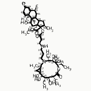 CC[C@H]1OC(=O)[C@H](C)[C@@H](O)[C@H](C)[C@@H](O)[C@]2(O)C[C@@]2(C)CN(CCCNCCC(=O)O[C@]2(C(=O)OC)[C@H](C)CC3C4C[C@H](F)C5=CC(=O)C=C[C@]5(C)[C@@]4(F)[C@@H](O)C[C@@]32C)[C@H](C)[C@@H](O)[C@]1(C)O